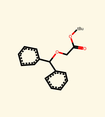 CC(C)(C)OC(=O)COC(c1ccccc1)c1ccccc1